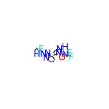 O=C(NCC(F)F)c1cnc2ccc(C3=CCCCc4nc(NCC(F)(F)C5CC5)ncc43)cn12